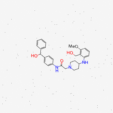 COc1cccc(NC2CCN(CC(=O)Nc3ccc(C(O)c4ccccc4)cc3)CC2)c1CO